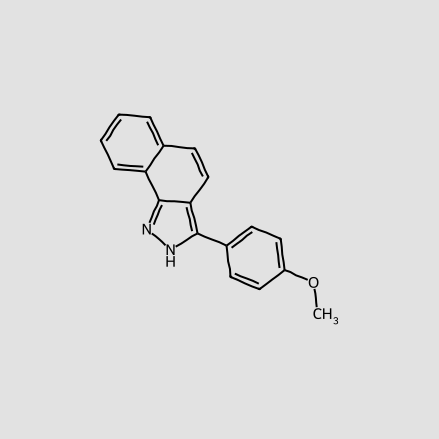 COc1ccc(-c2[nH]nc3c2ccc2ccccc23)cc1